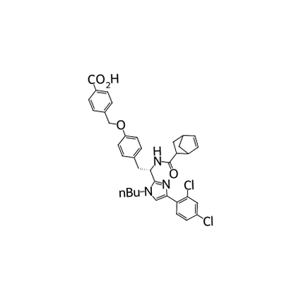 CCCCn1cc(-c2ccc(Cl)cc2Cl)nc1[C@H](Cc1ccc(OCc2ccc(C(=O)O)cc2)cc1)NC(=O)C1CC2C=CC1C2